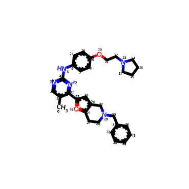 Cc1cnc(Nc2ccc(OCCN3CCCC3)cc2)nc1-c1cc2c(o1)CCN(Cc1ccccc1)C2